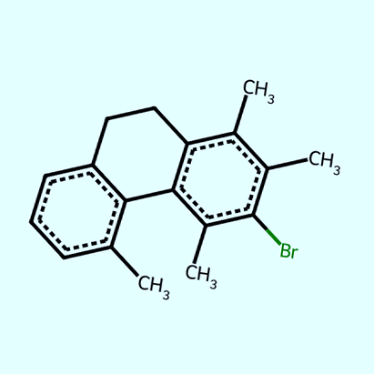 Cc1cccc2c1-c1c(C)c(Br)c(C)c(C)c1CC2